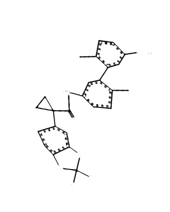 Cc1ccc(NC(=O)C2(c3ccc4c(c3)OC(F)(F)O4)CC2)cc1-c1cc(C(=O)O)ccc1C